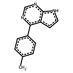 [CH2]c1ccc(-c2ncnc3[nH]ccc23)cc1